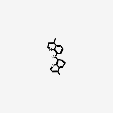 Cc1ccnc2[c]([Al][c]3cccc4c(C)ccnc34)cccc12